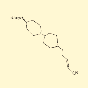 CCCCCCC[C@H]1CC[C@H](C2CCC(CC/C=C/C#N)CC2)CC1